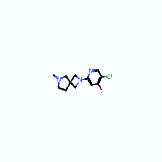 CN1CCC2(C1)CN(c1cc(I)c(Cl)cn1)C2